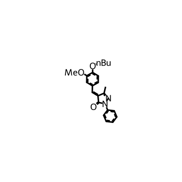 CCCCOc1ccc(/C=C2/C(=O)N(c3ccccc3)N=C2C)cc1OC